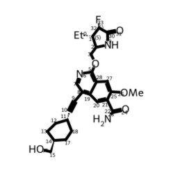 CC[C@H]1C(COc2ncc(C#C[C@H]3CC[C@H](CO)CC3)c3cc(C(N)=O)c(OC)cc23)NC(=O)[C@H]1F